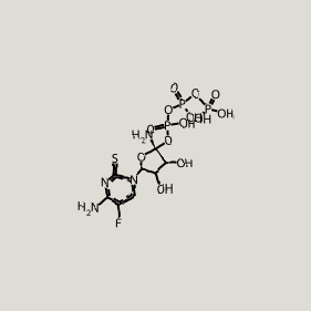 Nc1nc(=S)n(C2O[C@](N)(OP(=O)(O)OP(=O)(O)OP(=O)(O)O)C(O)C2O)cc1F